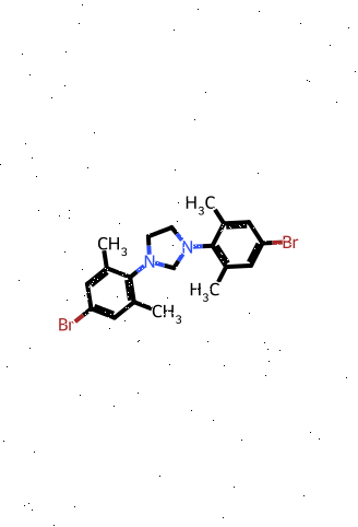 Cc1cc(Br)cc(C)c1N1CCN(c2c(C)cc(Br)cc2C)C1